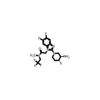 CN(CC(F)(F)F)C(=O)Cn1c(N2CC[C@@H](F)[C@H](N)C2)nc2cc(F)c(F)cc21